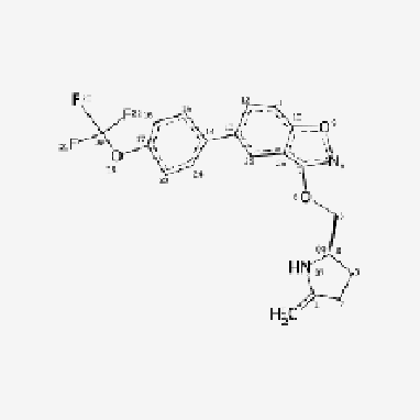 C=C1CC[C@H](COc2noc3ccc(-c4ccc(OC(F)(F)F)cc4)cc23)N1